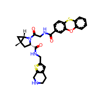 C[C@@]12C[C@@H]1N(C(=O)CNC(=O)c1ccc3c(c1)Oc1ccccc1S3)[C@H](C(=O)NCc1cc3c(s1)CNCC3)C2